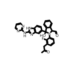 CC(=O)Cc1cccc(N2C(C=O)c3ccccc3C2(O)c2ccc3[nH]c(Nc4ncccn4)nc3c2)c1F